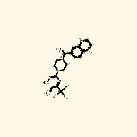 C=C/C(=N\C(=N/C)N1CCN(C(C)c2ccc3nccnc3c2)CC1)C(F)(F)F